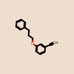 C#Cc1cccc(OCCCc2ccccc2)c1